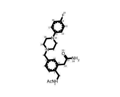 CC(=O)NCc1ccc(CN2CCN(c3ccc(F)cc3)CC2)cc1CC(N)=O